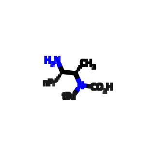 CCC[C@H](N)[C@H](C)N(C(=O)O)C(C)(C)C